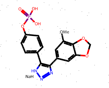 COc1cc(-c2nn[nH]c2-c2ccc(OP(=O)(O)O)cc2)cc2c1OCO2.[NaH]